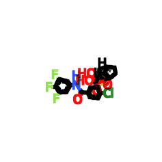 O=C(Nc1cc(F)c(F)c(F)c1)c1ccc(Cl)c(S(=O)(=O)[C@H]2C3CC[C@H]2C[C@](O)(C(=O)O)C3)c1